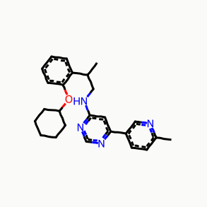 Cc1ccc(-c2cc(NCC(C)c3ccccc3OC3CCCCC3)ncn2)cn1